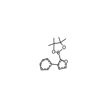 CC1(C)OB(c2occc2-c2ccccc2)OC1(C)C